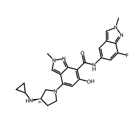 Cn1cc2cc(NC(=O)c3c(O)cc(N4CC[C@@H](NC5CC5)C4)c4cn(C)nc34)cc(F)c2n1